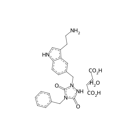 NCCc1c[nH]c2ccc(Cn3[nH]c(=O)n(Cc4ccccc4)c3=O)cc12.O.O=C(O)C=CC(=O)O